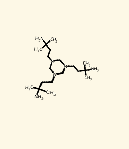 CC(C)(N)CCN1CN(CCC(C)(C)N)CN(CCC(C)(C)N)C1